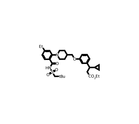 CCOC(=O)CC(c1cccc(OCC2CCN(c3cc(CC)ccc3C(=O)NS(=O)(=O)CC(C)(C)C)CC2)c1)C1CC1